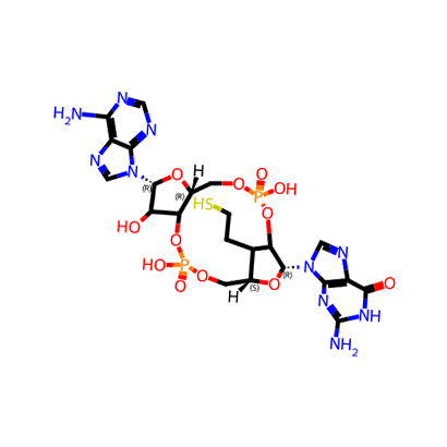 Nc1nc2c(ncn2[C@@H]2O[C@@H]3COP(=O)(O)OC4C(O)[C@H](n5cnc6c(N)ncnc65)O[C@@H]4COP(=O)(O)OC2C3CCS)c(=O)[nH]1